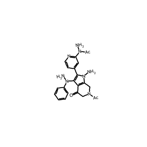 CC(=O)N1CC(=O)c2c(N(N)c3ccccc3)c(-c3ccnc(N(N)C(C)=O)c3)n(N)c2C1